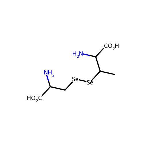 CC([Se][Se]CC(N)C(=O)O)C(N)C(=O)O